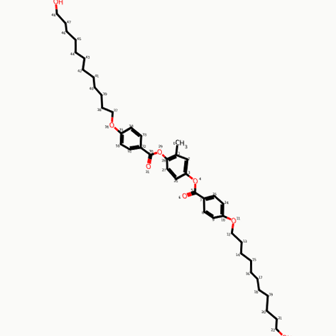 Cc1cc(OC(=O)c2ccc(OCCCCCCCCCCCO)cc2)ccc1OC(=O)c1ccc(OCCCCCCCCCCCCO)cc1